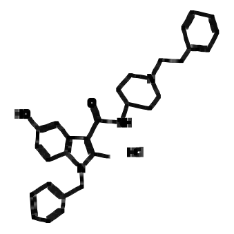 Cc1c(C(=O)NC2CCN(CCc3ccccc3)CC2)c2cc(O)ccc2n1Cc1ccccc1.Cl